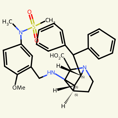 COc1ccc(N(C)S(C)(=O)=O)cc1CN[C@H]1[C@H]2CCN(C(C(=O)O)C2)[C@H]1C(c1ccccc1)c1ccccc1